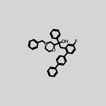 OC(Cc1cc(F)ccc1-c1ccc(-c2ccccc2)cc1)(c1ccccc1)C1CN(Cc2ccccc2)CCO1